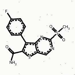 CS(=O)(=O)c1ncc2sc(C(N)=O)c(-c3ccc(F)cc3)c2n1